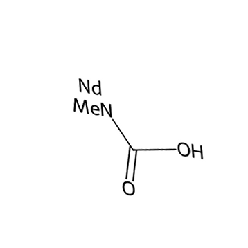 CNC(=O)O.[Nd]